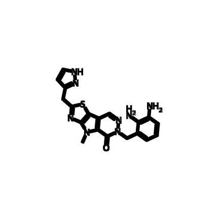 Cn1c2nc(Cc3cc[nH]n3)sc2c2cnn(Cc3cccc(N)c3N)c(=O)c21